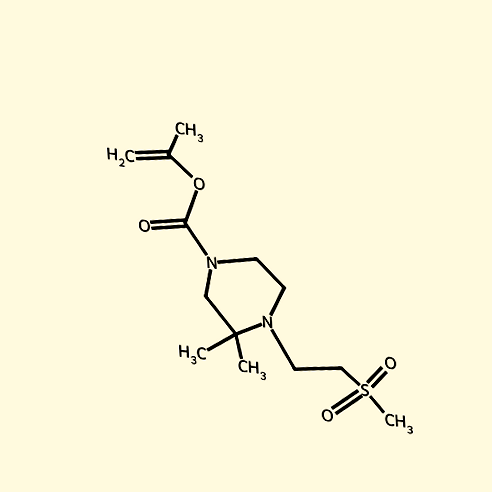 C=C(C)OC(=O)N1CCN(CCS(C)(=O)=O)C(C)(C)C1